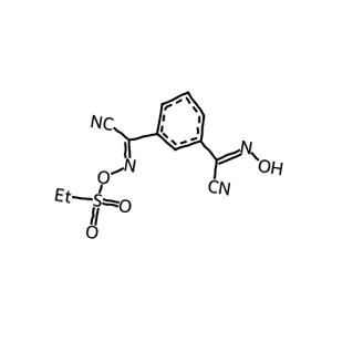 CCS(=O)(=O)ON=C(C#N)c1cccc(C(C#N)=NO)c1